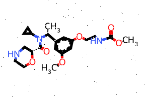 COC(=O)NCCOc1cc(OC)cc([C@@H](C)N(C(=O)[C@H]2CNCCO2)C2CC2)c1